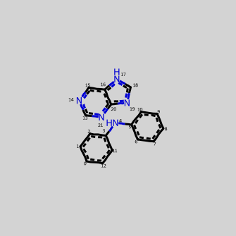 c1ccc(Nc2ccccc2)cc1.c1ncc2[nH]cnc2n1